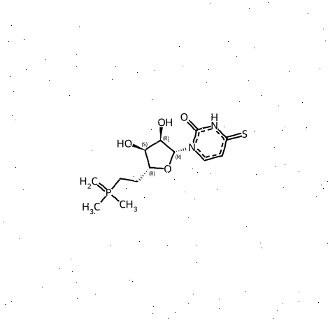 C=P(C)(C)CC[C@H]1O[C@@H](n2ccc(=S)[nH]c2=O)[C@H](O)[C@@H]1O